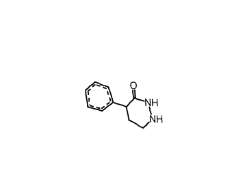 O=C1NNCCC1c1ccccc1